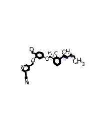 C/C=C\C=C(/C)c1cccc(COc2ccc(C=O)c(OCc3cncc(C#N)c3)c2)c1C